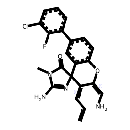 C=C/C=C1\C(=C/N)Oc2ccc(-c3cccc(Cl)c3F)cc2C12N=C(N)N(C)C2=O